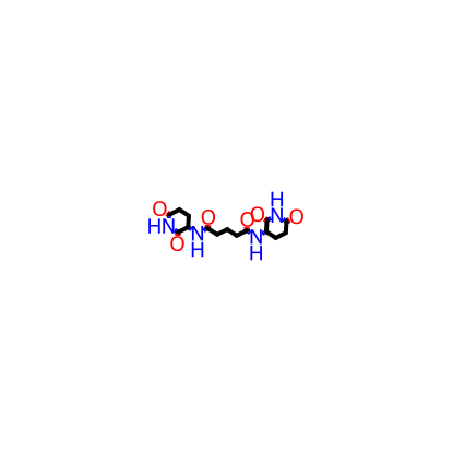 O=C1CCC(NC(=O)CCCC(=O)NC2CCC(=O)NC2=O)C(=O)N1